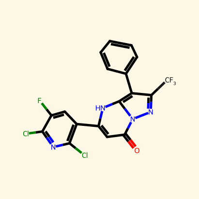 O=c1cc(-c2cc(F)c(Cl)nc2Cl)[nH]c2c(-c3ccccc3)c(C(F)(F)F)nn12